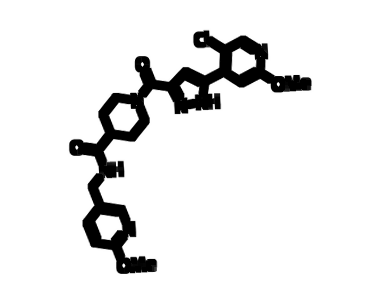 COc1ccc(CNC(=O)C2CCN(C(=O)c3cc(-c4cc(OC)ncc4Cl)[nH]n3)CC2)cn1